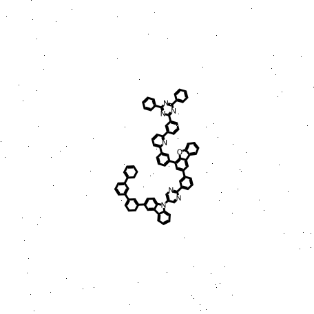 C1=CCCC(c2cccc(C3=CCCC(c4ccc5c(c4)c4ccccc4n5-c4cnc(-c5cccc(-c6cc(-c7cccc(-c8cccc(-c9cccc(-c%10nc(-c%11ccccc%11)nc(-c%11ccccc%11)n%10)c9)n8)c7)c7oc8ccccc8c7c6)c5)nc4)=C3)c2)=C1